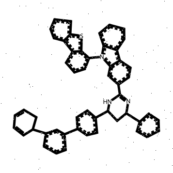 C1=CCC(c2cccc(-c3ccc(C4CC(c5ccccc5)N=C(c5ccc6c7ccccc7n(-c7cccc8c7sc7ccccc78)c6c5)N4)cc3)c2)C=C1